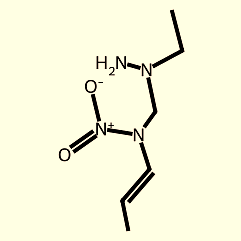 CC=CN(CN(N)CC)[N+](=O)[O-]